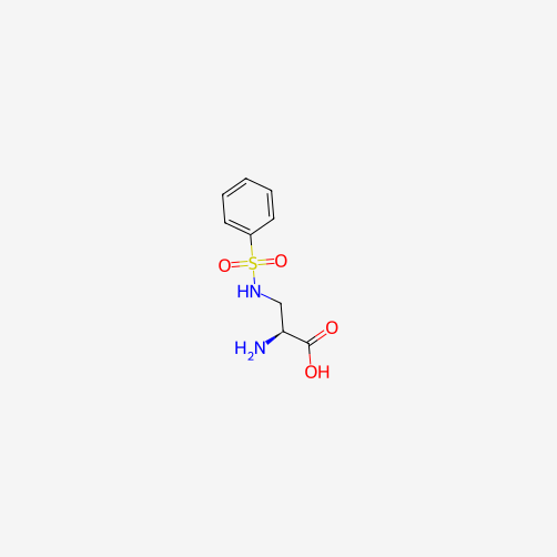 N[C@@H](CNS(=O)(=O)c1ccccc1)C(=O)O